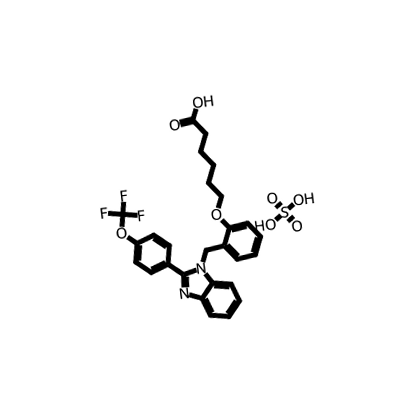 O=C(O)CCCCCOc1ccccc1Cn1c(-c2ccc(OC(F)(F)F)cc2)nc2ccccc21.O=S(=O)(O)O